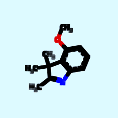 COc1cccc2c1C(C)(C)C(C)=N2